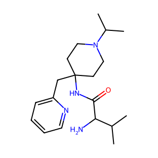 CC(C)C(N)C(=O)NC1(Cc2ccccn2)CCN(C(C)C)CC1